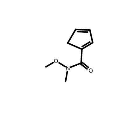 CON(C)C(=O)C1=CC=CC1